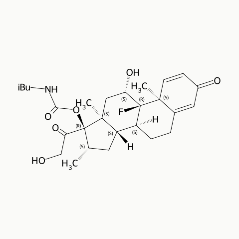 CCC(C)NC(=O)O[C@]1(C(=O)CO)[C@@H](C)C[C@H]2[C@@H]3CCC4=CC(=O)C=C[C@]4(C)[C@@]3(F)[C@@H](O)C[C@@]21C